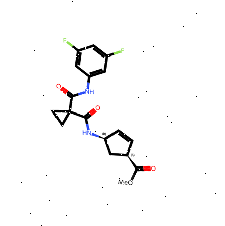 COC(=O)[C@@H]1C=C[C@H](NC(=O)C2(C(=O)Nc3cc(F)cc(F)c3)CC2)C1